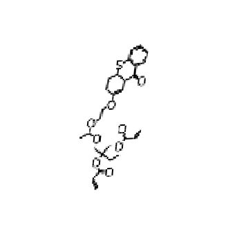 C=CC(=O)OCC(CC)(COC(C)OCCOC1=CC2C(=O)c3ccccc3SC2C=C1)OC(=O)C=C